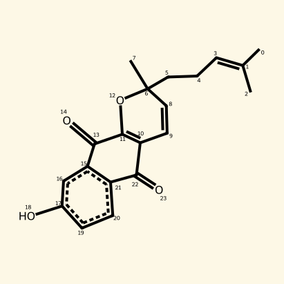 CC(C)=CCCC1(C)C=CC2=C(O1)C(=O)c1cc(O)ccc1C2=O